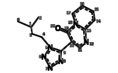 CC(C)CCn1nnnc1-c1cnc2ccccn2c1=O